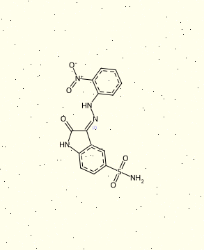 NS(=O)(=O)c1ccc2c(c1)/C(=N/Nc1ccccc1[N+](=O)[O-])C(=O)N2